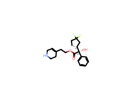 O=C(OCCC1=CCNCC1)[C@](O)(c1ccccc1)[C@@H]1CCC(F)(F)C1